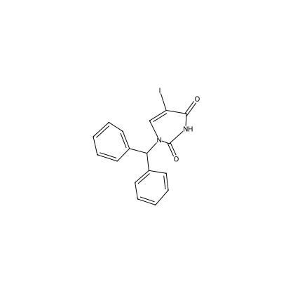 O=c1[nH]c(=O)n(C(c2ccccc2)c2ccccc2)cc1I